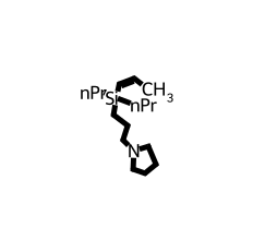 C/C=C\[Si](CCC)(CCC)CCCN1CCCC1